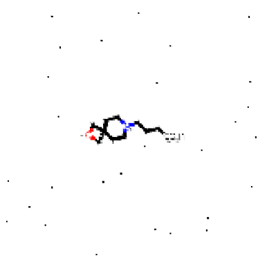 O=C(O)CCCN1CCC2(CC1)COC2